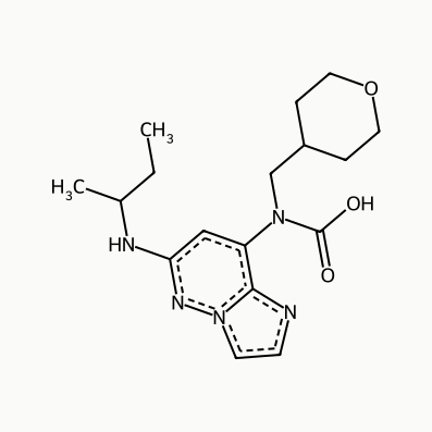 CCC(C)Nc1cc(N(CC2CCOCC2)C(=O)O)c2nccn2n1